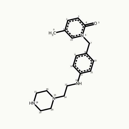 Cc1ccc(=O)n(Cc2ccc(NCCN3CCNCC3)cc2)c1